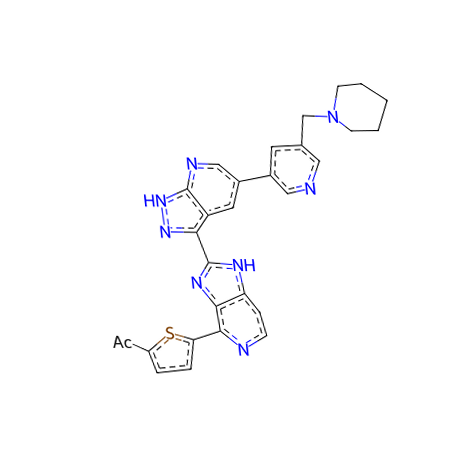 CC(=O)c1ccc(-c2nccc3[nH]c(-c4n[nH]c5ncc(-c6cncc(CN7CCCCC7)c6)cc45)nc23)s1